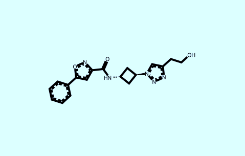 O=C(N[C@H]1C[C@H](n2cc(CCO)nn2)C1)c1cc(-c2ccccc2)on1